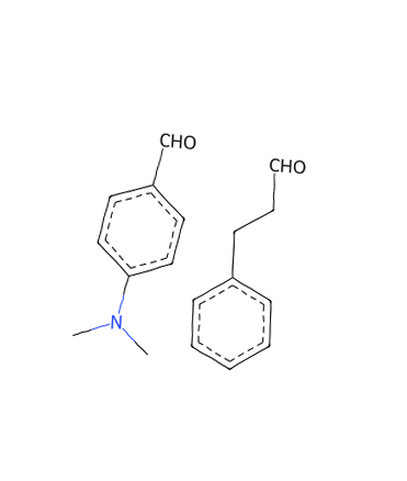 CN(C)c1ccc(C=O)cc1.O=CCCc1ccccc1